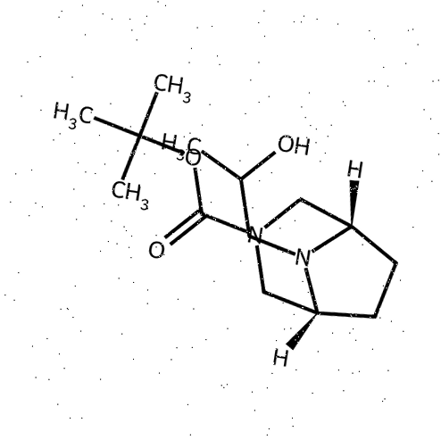 CC(O)CN1[C@@H]2CC[C@H]1CN(C(=O)OC(C)(C)C)C2